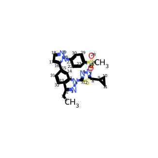 CCc1nn(-c2nnc(C3CC3)s2)c2cc(-c3ccnn3-c3ccc(S(C)(=O)=O)cc3)ccc12